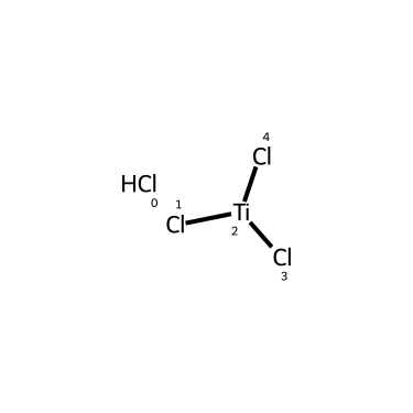 Cl.[Cl][Ti]([Cl])[Cl]